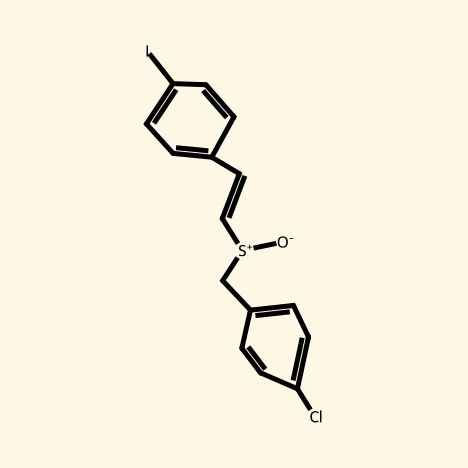 [O-][S+](/C=C/c1ccc(I)cc1)Cc1ccc(Cl)cc1